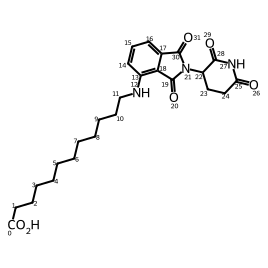 O=C(O)CCCCCCCCCCCNc1cccc2c1C(=O)N(C1CCC(=O)NC1=O)C2=O